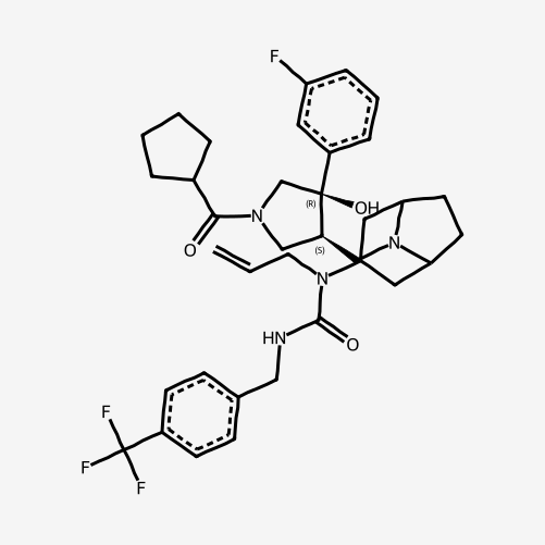 C=CCN(C(=O)NCc1ccc(C(F)(F)F)cc1)C1CC2CCC(C1)N2C[C@H]1CN(C(=O)C2CCCC2)C[C@]1(O)c1cccc(F)c1